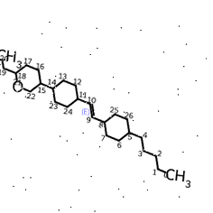 CCCCCC1CCC(/C=C/C2CCC(C3CCC(CC)OC3)CC2)CC1